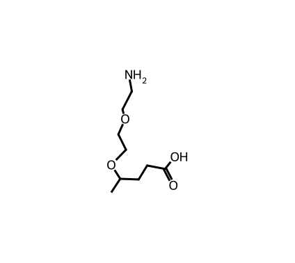 CC(CCC(=O)O)OCCOCCN